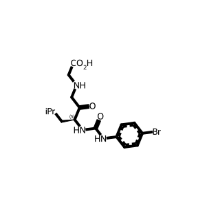 CC(C)C[C@H](NC(=O)Nc1ccc(Br)cc1)C(=O)CNCC(=O)O